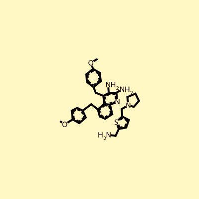 COc1ccc(Cc2cccc3nc(N)c(N)c(Cc4ccc(OC)cc4)c23)cc1.NCc1ccc(CN2CCCC2)s1